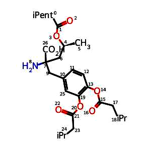 CCCC(C)C(=O)O[C@@H](C)CC(N)(Cc1ccc(OC(=O)CC(C)C)c(OC(=O)CC(C)C)c1)C(=O)O